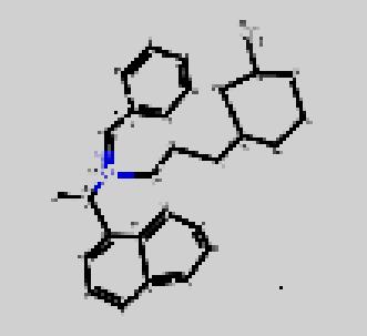 C[C@H](c1cccc2ccccc12)/[N+](=C/c1ccccc1)CCCC1CCCC(C(F)(F)F)C1